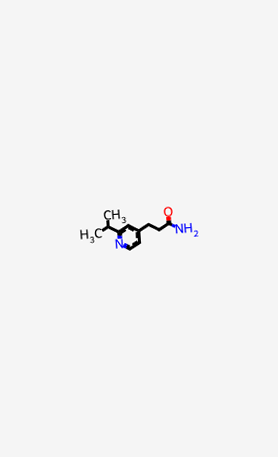 CC(C)c1cc(CCC(N)=O)ccn1